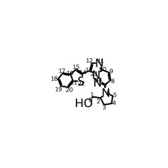 OCC1CCCN1c1ccc2ncc(-c3cc4ccccc4s3)n2n1